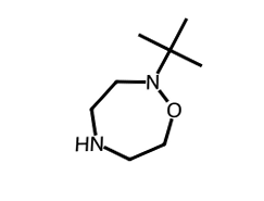 CC(C)(C)N1CCNCCO1